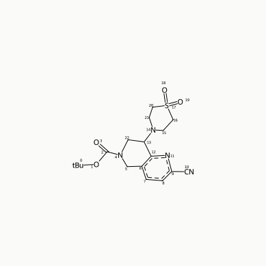 CC(C)(C)OC(=O)N1Cc2ccc(C#N)nc2C(N2CCS(=O)(=O)CC2)C1